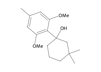 COc1cc(C)cc(OC)c1C1(O)CCCC(C)(C)C1